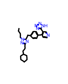 CCCCn1nc(CCC2CCCCC2)nc1Cc1ccc(-c2ccncc2-c2nnn[nH]2)cc1